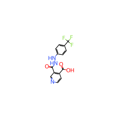 O=C(O)c1ccncc1C(=O)NNc1ccc(C(F)(F)F)cc1